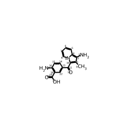 Cc1c(N)c2ccccn2c1C(=O)c1ccc(N)c(C(=O)O)c1